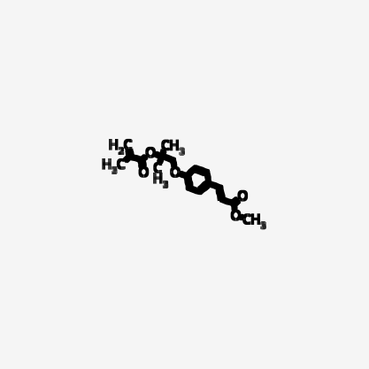 C=C(C)C(=O)OC(C)(C)COc1ccc(C=CC(=O)OC)cc1